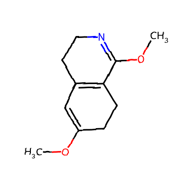 COC1=CC2=C(CC1)C(OC)=NCC2